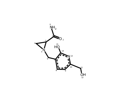 NC(=O)C1CN1Cc1ccc(CO)nc1O